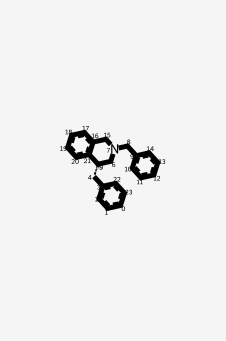 c1ccc(C[C@H]2CN(Cc3ccccc3)Cc3ccccc32)cc1